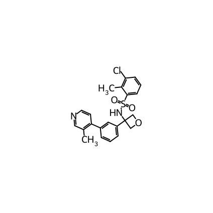 Cc1cnccc1-c1cccc(C2(NS(=O)(=O)c3cccc(Cl)c3C)COC2)c1